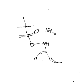 CC=CC(=O)NOS(=O)(=O)C(C)(C)C.N